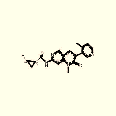 Cc1ccncc1-c1cc2cnc(NC(=O)[C@@H]3C[C@@H]3F)cc2n(C)c1=O